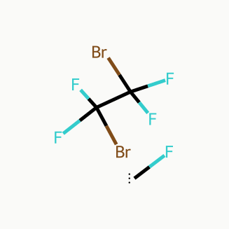 FC(F)(Br)C(F)(F)Br.[C]F